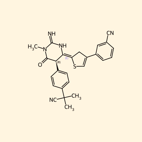 CN1C(=N)N/C(=C2\CC(c3cccc(C#N)c3)=CS2)[C@@H](c2ccc(C(C)(C)C#N)cc2)C1=O